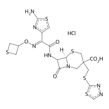 Cl.Nc1nc(C(=NOC2CSC2)C(=O)NC2C(=O)N3CC(CSc4nncs4)(C(=O)O)CS[C@H]23)cs1